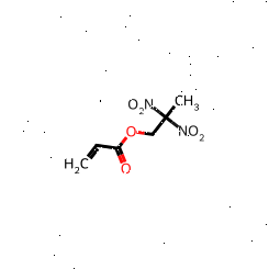 C=CC(=O)OCC(C)([N+](=O)[O-])[N+](=O)[O-]